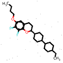 CCCCOc1cc2c(c(F)c1F)OC(C1CCC(C3CCC(CC)CC3)CC1)CC2